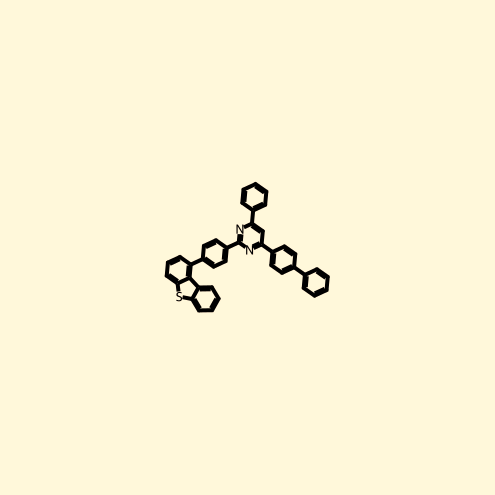 c1ccc(-c2ccc(-c3cc(-c4ccccc4)nc(-c4ccc(-c5cccc6sc7ccccc7c56)cc4)n3)cc2)cc1